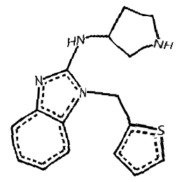 c1csc(Cn2c(NC3CCNC3)nc3ccccc32)c1